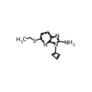 CCSc1ccc2nc(N)n(C3=CC=C3)c2n1